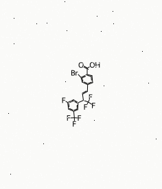 O=C(O)c1ccc(C=CC(c2cc(F)cc(C(F)(F)F)c2)C(F)(F)F)cc1Br